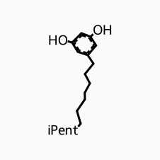 CCCC(C)CCCCCCCc1cc(O)cc(O)c1